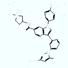 Cc1cc(C)n(-c2cccc(-c3cn(-c4ccc(F)cc4)c4cc(C(=O)NC5CCS(O)(O)C5)ccc34)c2)n1